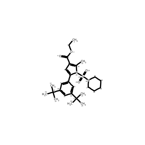 CCOC(=O)c1cc(-c2cc(C(C)(C)C)cc(C(C)(C)C)c2)n(S(=O)(=O)N2CCCCC2)c1C